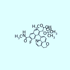 CNC(=O)c1cc2cc(C)c(C(OC(C)(C)C)C(=O)O)c(-c3ccc4c5c(ccnc35)CCO4)c2cc1F